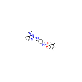 Cc1c(C)c(C)c(S(=O)(=O)NC[C@H]2CC[C@H](CNc3nc(N(C)C)c4ccccc4n3)CC2)c(C)c1C